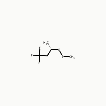 CSS[C@@H](C)CC(F)(F)F